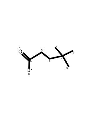 CC(C)(C)CCC(=O)Br